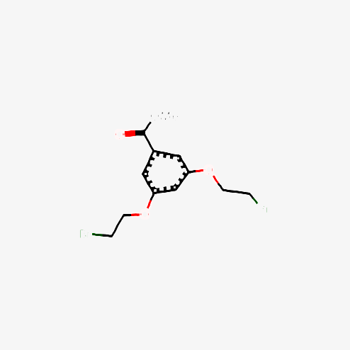 COC(=O)c1cc(OCCBr)cc(OCCBr)c1